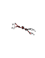 CCCCCCN(CCCCCC)c1ccc(C#Cc2ccc(C#Cc3ccc(N(CCCCCC)CCCCCC)cc3)c3nsnc23)cc1